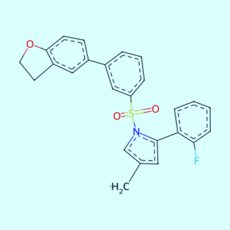 [CH2]c1cc(-c2ccccc2F)n(S(=O)(=O)c2cccc(-c3ccc4c(c3)CCO4)c2)c1